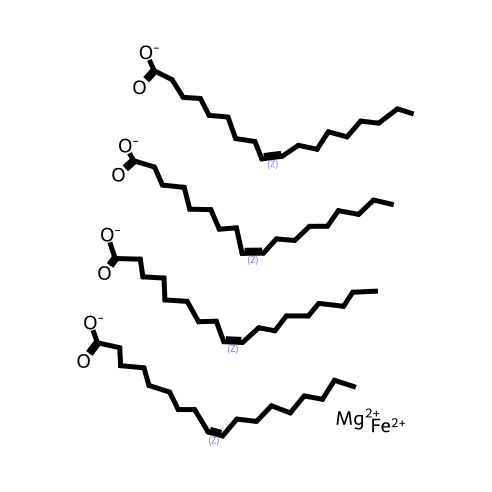 CCCCCCCC/C=C\CCCCCCCC(=O)[O-].CCCCCCCC/C=C\CCCCCCCC(=O)[O-].CCCCCCCC/C=C\CCCCCCCC(=O)[O-].CCCCCCCC/C=C\CCCCCCCC(=O)[O-].[Fe+2].[Mg+2]